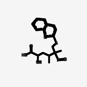 CC(CC(O)C(=O)O)C(C)(CSc1ccc2ccccc2n1)P=O